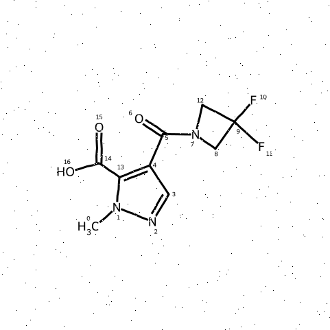 Cn1ncc(C(=O)N2CC(F)(F)C2)c1C(=O)O